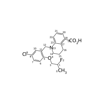 CC(F)COc1ccc(Cl)cc1CN1CCCc2c(C(=O)O)cccc21